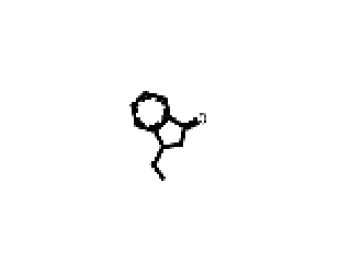 CCC1CC(=O)c2ccccc21